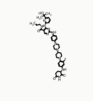 C=CCn1c(=O)c2cnc(Nc3ccc(N4CCN(C5CCN(c6ccc(NC7CCC(=O)NC7=O)cc6F)CC5)CC4)cc3)nc2n1-c1cccc(C(C)(C)O)n1